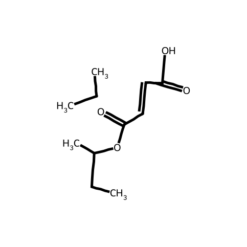 CCC.CCC(C)OC(=O)C=CC(=O)O